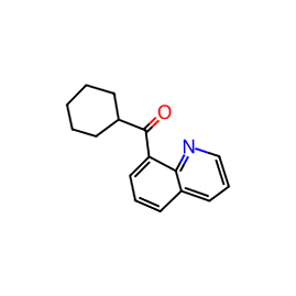 O=C(c1cccc2cccnc12)C1CCCCC1